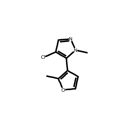 Cc1occc1-c1c(Cl)cnn1C